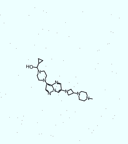 CN1CCN(C2CN(c3cnc4c(N5CCN(C(O)C6CC6)CC5)cnn4c3)C2)CC1